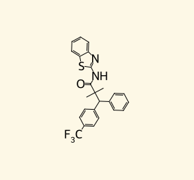 CC(C)(C(=O)Nc1nc2ccccc2s1)C(c1ccccc1)c1ccc(C(F)(F)F)cc1